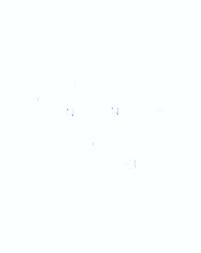 Fc1ccc(Cl)cc1CN(Cc1ccc(Cl)nc1)c1ccoc1